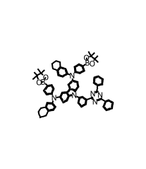 CC1(C)OB(c2ccc(N(c3ccc4c(c3)CCCC4)c3ccc4c(c3)c3cc(N(c5ccc(B6OC(C)(C)C(C)(C)O6)cc5)c5ccc6c(c5)CCCC6)ccc3n4-c3cccc(-c4nc(-c5ccccc5)nc(-c5ccccc5)n4)c3)cc2)OC1(C)C